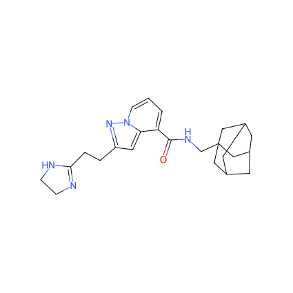 O=C(NCC12CC3CC(CC(C3)C1)C2)c1cccn2nc(CCC3=NCCN3)cc12